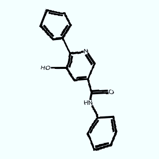 O=C(Nc1ccccc1)c1cnc(-c2ccccc2)c(O)c1